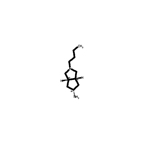 CCCCN1C[C@H]2C[C@@H](N)C[C@H]2C1